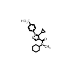 CN(C(=O)c1cnn(-c2ccc(C(=O)O)cc2)c1C1CC1)C1CCCCC1